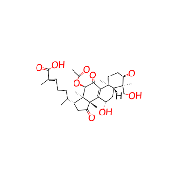 CC(=O)O[C@H]1C(=O)C2=C([C@@H](O)C[C@H]3[C@](C)(CO)C(=O)CC[C@]23C)[C@]2(C)C(=O)C[C@H](C(C)CC/C=C(\C)C(=O)O)[C@@]12C